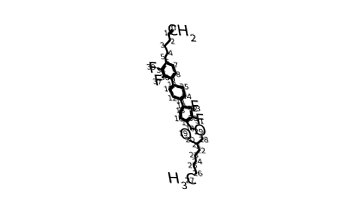 C=CCCCCc1ccc(-c2ccc(-c3ccc(C4OCC(CCCCCC)CO4)c(F)c3F)cc2)c(F)c1F